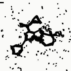 CCN(c1nc(-c2cncnc2)nc2c1nc1n2CCOC1(C)C)C1CC1